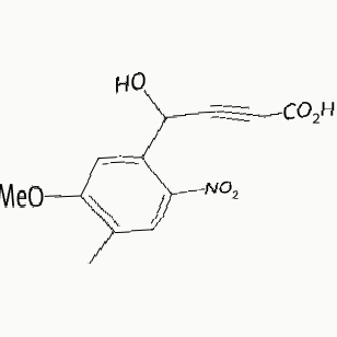 COc1cc(C(O)C#CC(=O)O)c([N+](=O)[O-])cc1C